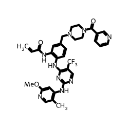 C=CC(=O)Nc1cc(CN2CCN(C(=O)c3cccnc3)CC2)ccc1Nc1nc(Nc2cc(OC)ncc2C)ncc1C(F)(F)F